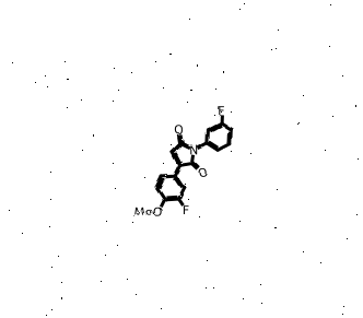 COc1ccc(C2=CC(=O)N(c3cccc(F)c3)C2=O)cc1F